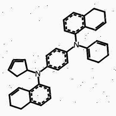 C1=CCC(N(c2ccc(N(C3=CCCC=C3)c3cccc4c3C=CCC4)cc2)c2cccc3c2C=CCC3)C=1